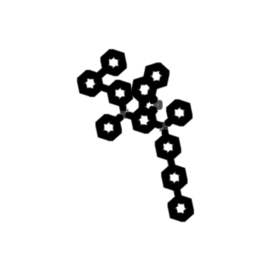 c1ccc(-c2ccc(-c3ccc(N(c4ccccc4)c4ccc(N(c5ccccc5)c5cccc(-c6ccccc6-c6ccccc6)c5)c5c4oc4c6ccccc6ccc45)cc3)cc2)cc1